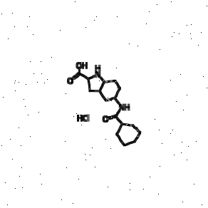 Cl.O=C(NC1CCC2NC(C(=O)O)CC2C1)C1CCCCC1